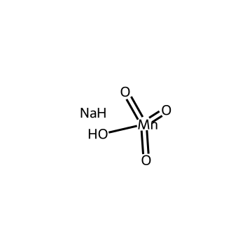 [NaH].[O]=[Mn](=[O])(=[O])[OH]